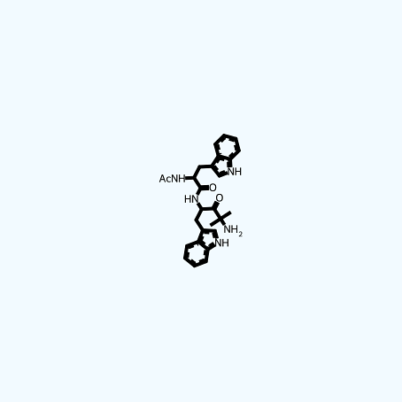 CC(=O)NC(Cc1c[nH]c2ccccc12)C(=O)NC(Cc1c[nH]c2ccccc12)C(=O)C(C)(C)N